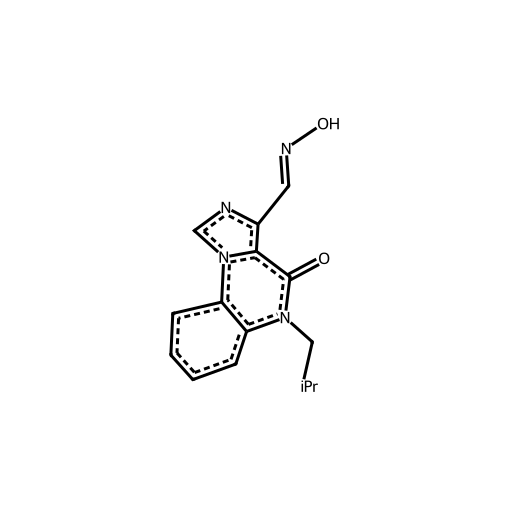 CC(C)Cn1c(=O)c2c(C=NO)ncn2c2ccccc21